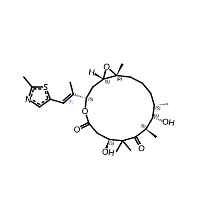 C/C(=C\c1cnc(C)s1)[C@@H]1C[C@@H]2O[C@]2(C)CCC[C@H](C)[C@H](O)[C@@H](C)C(=O)C(C)(C)[C@@H](O)CC(=O)O1